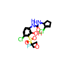 O=C(Nc1ccc(Cl)c(S(=O)(=O)C2(F)COC2)c1O)NC1CCC=C1Cl